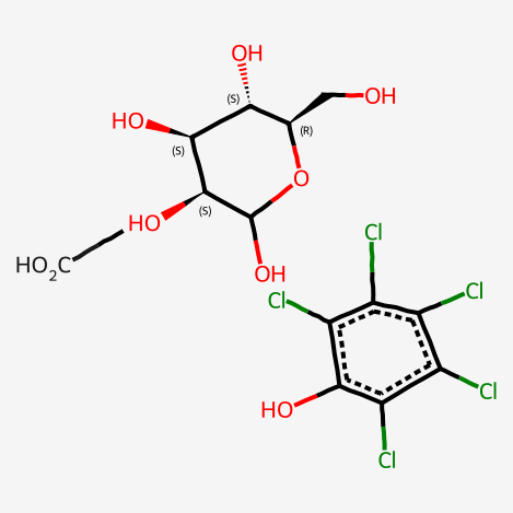 CC(=O)O.OC[C@H]1OC(O)[C@@H](O)[C@@H](O)[C@@H]1O.Oc1c(Cl)c(Cl)c(Cl)c(Cl)c1Cl